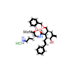 C=C(CBr)C[C@H](COCc1ccccc1)C(C/C=C/c1ccccc1)C(=O)N[C@H](CCCN)C(=O)NC.Cl